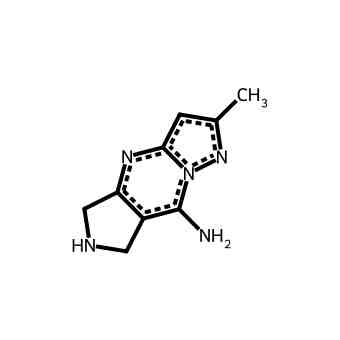 Cc1cc2nc3c(c(N)n2n1)CNC3